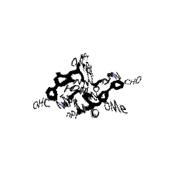 CCCN(CCC)C(=O)C1=Cc2c(cc(-c3ccc(C=O)c(/N=C\N(C)CC(=O)NNC4=Nc5cc(-c6ccc(C=O)c(/N=C\N(C)CC(=O)NC)c6)cc(C)c5C=C(C(=O)N(CCC)CCC)C4)c3)cc2OC)N=C(N)C1